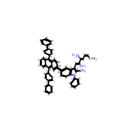 C\C=C/C=C(N)/C(N)=C/c1c(C)n(-c2ccccc2)c2ccc(-c3ccc4c(-c5ccc(-c6ccccc6)cc5)c5ccccc5c(-c5ccc(-c6ccccc6)cc5)c4c3)cc12